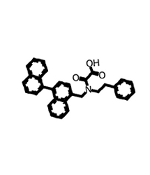 O=C(O)C(=O)N(CCc1ccccc1)Cc1ccc(-c2cccc3ccccc23)c2ccccc12